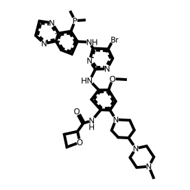 COc1cc(N2CCC(N3CCN(C)CC3)CC2)c(NC(=O)C2CCO2)cc1Nc1ncc(Br)c(Nc2ccc3nccnc3c2P(C)C)n1